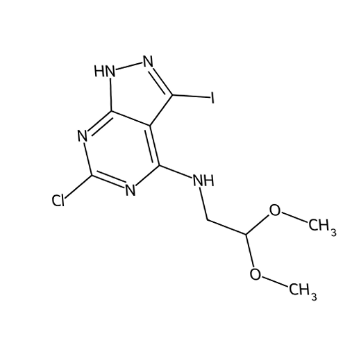 COC(CNc1nc(Cl)nc2[nH]nc(I)c12)OC